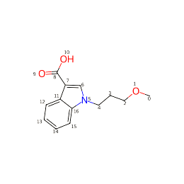 COCCCn1cc(C(=O)O)c2ccccc21